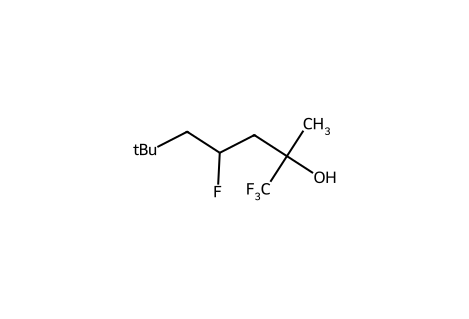 CC(C)(C)CC(F)CC(C)(O)C(F)(F)F